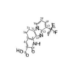 O=C(O)c1cc2c([nH]c1=O)-c1nc3c(C(F)(F)F)cccn3c1CC2